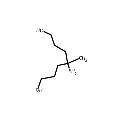 CC(P)(CCCO)CCCO